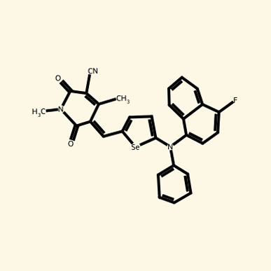 CC1=C(C#N)C(=O)N(C)C(=O)/C1=C/c1ccc(N(c2ccccc2)c2ccc(F)c3ccccc23)[se]1